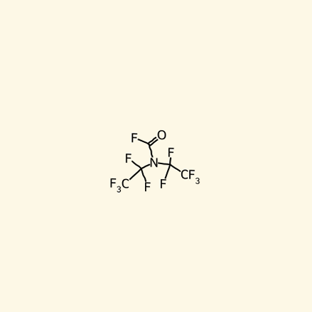 O=C(F)N(C(F)(F)C(F)(F)F)C(F)(F)C(F)(F)F